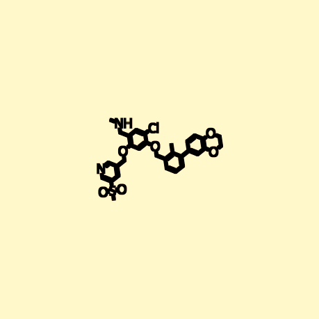 CNCc1cc(Cl)c(OCc2cccc(-c3ccc4c(c3)OCCO4)c2C)cc1OCc1cncc(S(C)(=O)=O)c1